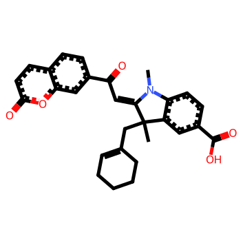 CN1/C(=C\C(=O)c2ccc3ccc(=O)oc3c2)C(C)(CC2=CCCCC2)c2cc(C(=O)O)ccc21